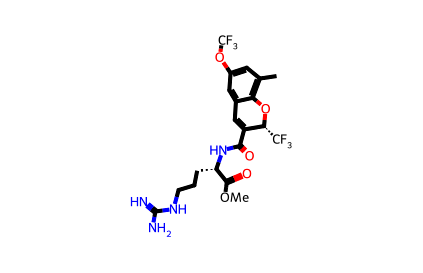 COC(=O)[C@H](CCCNC(=N)N)NC(=O)C1=Cc2cc(OC(F)(F)F)cc(C)c2O[C@@H]1C(F)(F)F